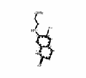 COCCNc1cc2[nH]c(=O)ccc2cc1F